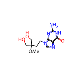 COC(CO)(CO)CCn1cnc2c(=O)[nH]c(N)nc21